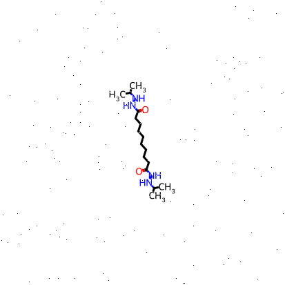 CC(C)NNC(=O)CCCCCCCCC(=O)NNC(C)C